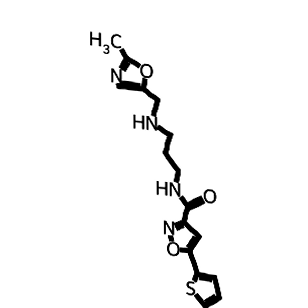 Cc1ncc(CNCCCNC(=O)c2cc(-c3cccs3)on2)o1